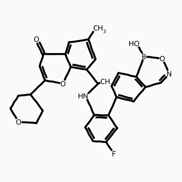 Cc1cc(C(C)Nc2ccc(F)cc2-c2ccc3c(c2)C=NOB3O)c2oc(C3CCOCC3)cc(=O)c2c1